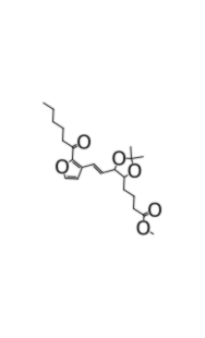 CCCCCC(=O)c1occc1/C=C/C1OC(C)(C)OC1CCCC(=O)OC